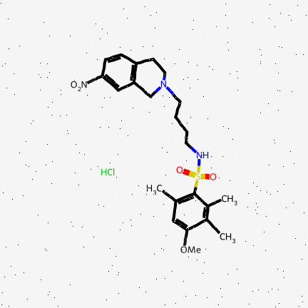 COc1cc(C)c(S(=O)(=O)NCCCCN2CCc3ccc([N+](=O)[O-])cc3C2)c(C)c1C.Cl